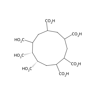 O=C(O)C1CC(C(=O)O)CC(C(=O)O)[C@@H](C(=O)O)[C@@H](C(=O)O)CC(C(=O)O)C(C(=O)O)C1